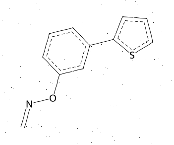 C=NOc1cccc(-c2cccs2)c1